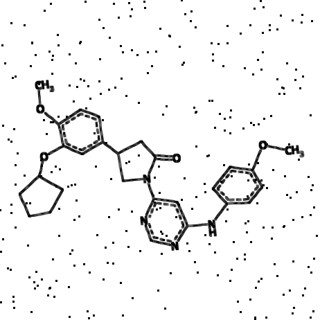 COc1ccc(Nc2cc(N3CC(c4ccc(OC)c(OC5CCCC5)c4)CC3=O)ncn2)cc1